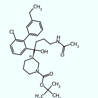 CCc1cccc(-c2c(Cl)cccc2C(O)(CCCNC(C)=O)[C@@H]2CCCN(C(=O)OC(C)(C)C)C2)c1